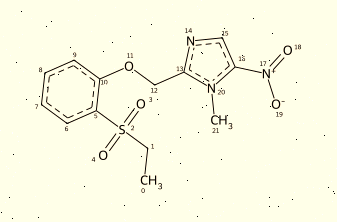 CCS(=O)(=O)c1ccccc1OCc1ncc([N+](=O)[O-])n1C